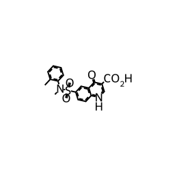 Cc1ccccc1N(C)S(=O)(=O)c1ccc2[nH]cc(C(=O)O)c(=O)c2c1